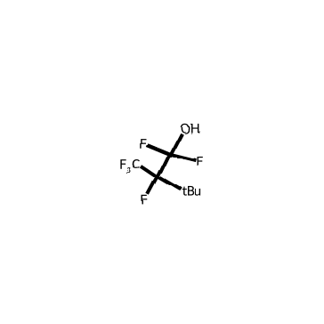 CC(C)(C)C(F)(C(O)(F)F)C(F)(F)F